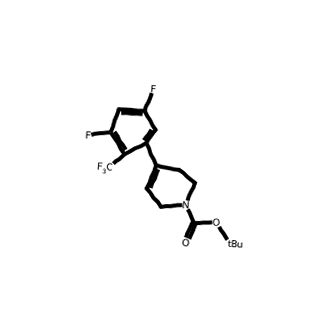 CC(C)(C)OC(=O)N1CC=C(c2cc(F)cc(F)c2C(F)(F)F)CC1